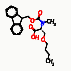 CCCCOC[C@H](C(=O)O)N(C)C(=O)OCC1c2ccccc2-c2ccccc21